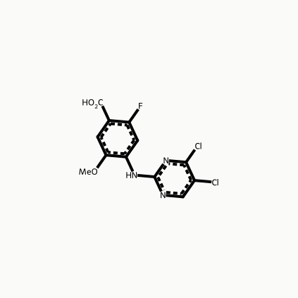 COc1cc(C(=O)O)c(F)cc1Nc1ncc(Cl)c(Cl)n1